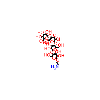 NCCO[C@H]1OC(CO)[C@H](O[C@H]2OC(CO)[C@@H](O[C@@H]3OC(CO)[C@@H](O[C@@H]4OC(C(=O)O)[C@@H](O)C(O)[C@@H]4O)C(O)[C@@H]3O)[C@H](O)C2O)[C@H](O)C1O